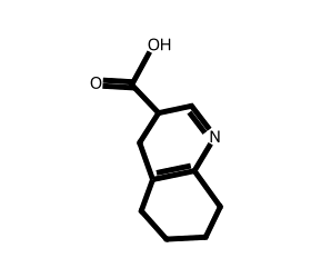 O=C(O)C1C=NC2=C(CCCC2)C1